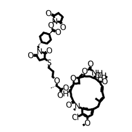 COc1cc2cc(c1Cl)N(C)C(=O)C[C@H](OC(=O)[C@H](C)OCCCSC1CC(=O)N(C[C@H]3CC[C@H](C(=O)ON4C(=O)CCC4=O)CC3)C1=O)[C@@]1(C)CC(C)(O1)C1C[C@@](O)(NC(=O)O1)[C@H](OC)/C=C/C=C(\C)C2